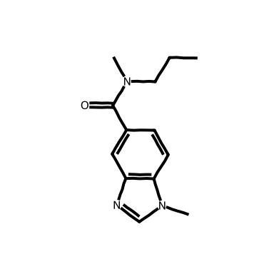 CCCN(C)C(=O)c1ccc2c(c1)ncn2C